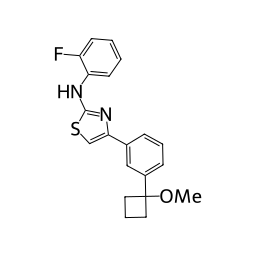 COC1(c2cccc(-c3csc(Nc4ccccc4F)n3)c2)CCC1